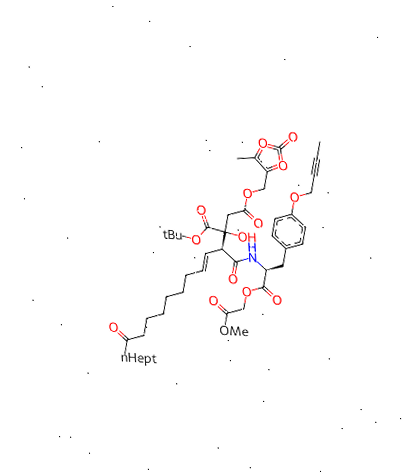 CC#CCOc1ccc(C[C@H](NC(=O)[C@@H](/C=C/CCCCCCC(=O)CCCCCCC)C(O)(CC(=O)OCc2oc(=O)oc2C)C(=O)OC(C)(C)C)C(=O)OCC(=O)OC)cc1